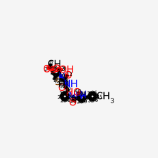 CC(=O)OCC1=C(C(=O)O)N2C(=O)C(NC(=O)Cc3ccccc3NC(=O)c3ccc(-c4ccc(C)cc4)nc3O)[C@H]2SC1